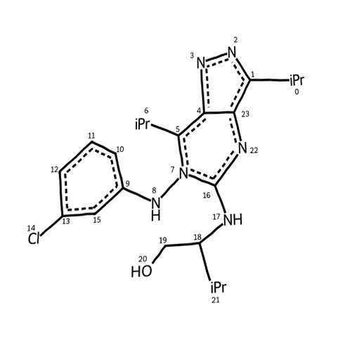 CC(C)c1nnc2c(C(C)C)n(Nc3cccc(Cl)c3)c(NC(CO)C(C)C)nc1-2